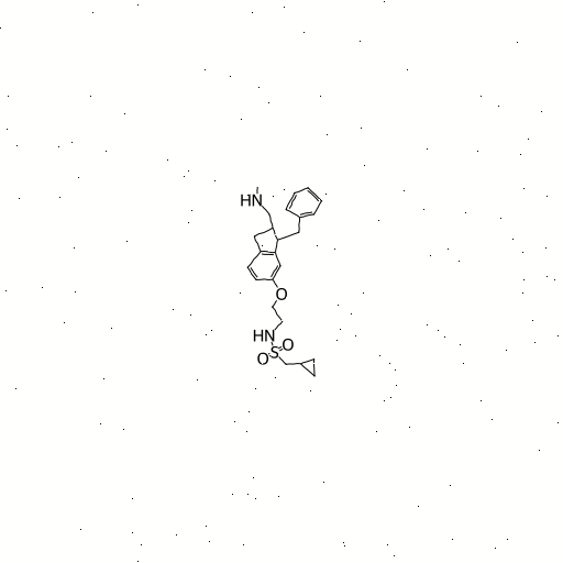 CNCC1Cc2ccc(OCCNS(=O)(=O)CC3CC3)cc2C1Cc1ccccc1